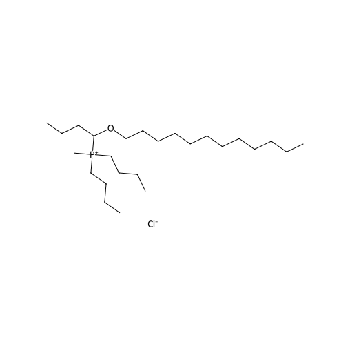 CCCCCCCCCCCCOC(CCC)[P+](C)(CCCC)CCCC.[Cl-]